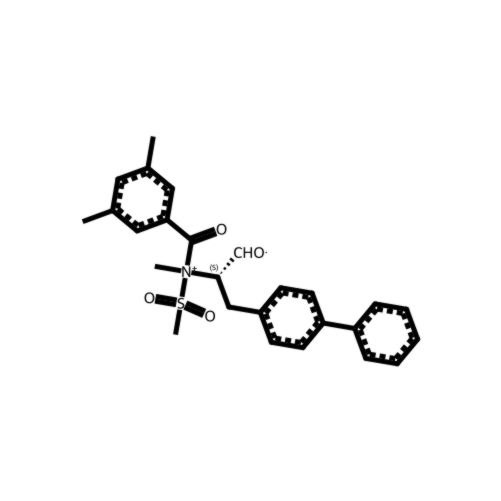 Cc1cc(C)cc(C(=O)[N+](C)([C@H]([C]=O)Cc2ccc(-c3ccccc3)cc2)S(C)(=O)=O)c1